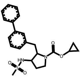 CS(=O)(=O)NC1CCN(C(=O)OC2CC2)C1Cc1cccc(-c2ccccc2)c1